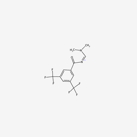 CN(C)/C=N\C(=O)c1cc(C(F)(F)F)cc(C(F)(F)F)c1